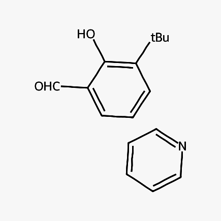 CC(C)(C)c1cccc(C=O)c1O.c1ccncc1